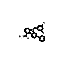 NC(=O)c1cccc2c1c1[c]cc(-c3ccccc3)cc1n2Cc1cc(Cl)cc(Cl)c1